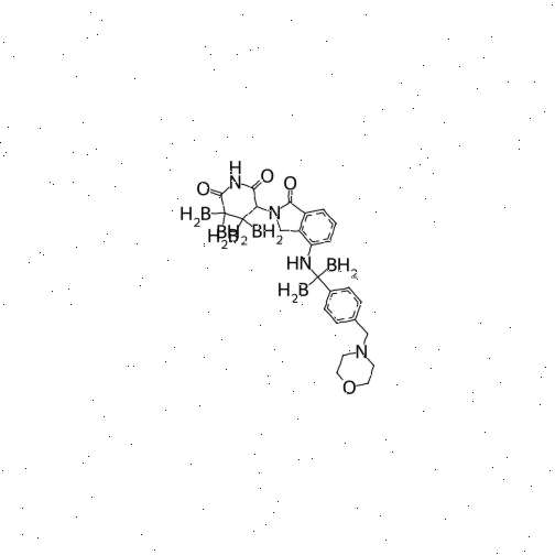 BC(B)(Nc1cccc2c1CN(C1C(=O)NC(=O)C(B)(B)C1(B)B)C2=O)c1ccc(CN2CCOCC2)cc1